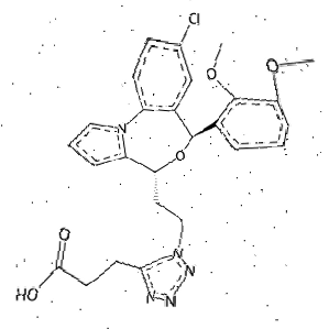 COc1cccc([C@H]2O[C@H](CCn3nnnc3CCC(=O)O)c3cccn3-c3ccc(Cl)cc32)c1OC